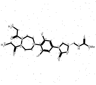 COC(=S)NC[C@H]1CN(c2cc(F)c(N3CCN(C(=O)CN)N(C(=O)CN)CC3)c(F)c2)C(=O)O1